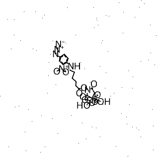 [N-]=[N+]=Nc1ccc(NCCCCCC(=O)ON2C(=O)CC(S(=O)(=O)O)(S(=O)(=O)O)C2=O)c([N+](=O)[O-])c1